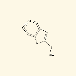 CC(C)(C)CC1=Cc2ccccc2[CH]1